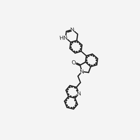 O=C1c2c(cccc2-c2ccc3c(c2)CN=CN3)CN1CCc1ccc2ccccc2n1